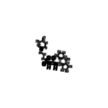 CC1CCN(CCCS(=O)(=O)NC(=O)Nc2c3c(cc4c2CCC4)CCC3)CC1